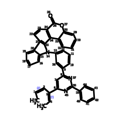 C/C=C\C(=C/C)c1cc(-c2cccc(-n3c4ccccc4c4ccc5c(=O)oc6ccccc6c5c43)c2)nc(-c2ccccc2)n1